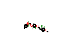 CCOc1ccc(CCCOc2ccc(OCC(F)(F)Oc3ccc(C)cc3)c(F)c2F)c(F)c1F